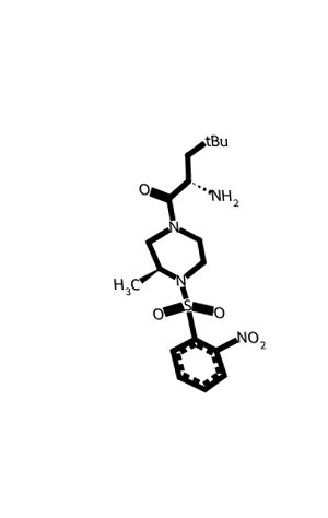 C[C@H]1CN(C(=O)[C@@H](N)CC(C)(C)C)CCN1S(=O)(=O)c1ccccc1[N+](=O)[O-]